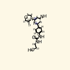 C/C(=N\C(=C/C=N)N1CCOC[C@@H]1C)c1ccc(NC(=O)NCCO)cc1